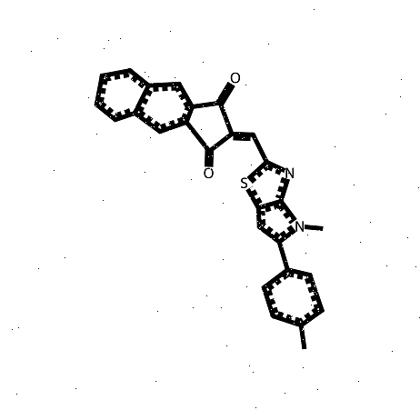 Cc1ccc(-c2cc3sc(C=C4C(=O)c5cc6ccccc6cc5C4=O)nc3n2C)cc1